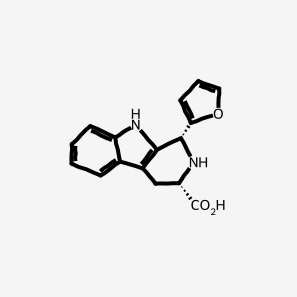 O=C(O)[C@@H]1Cc2c([nH]c3ccccc23)[C@H](c2ccco2)N1